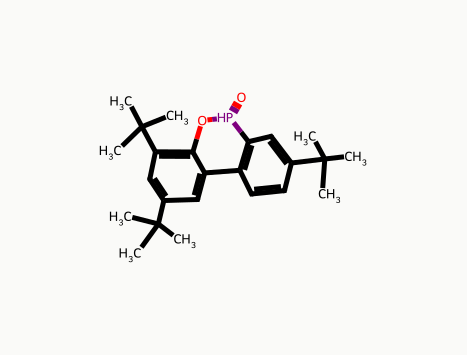 CC(C)(C)c1ccc2c(c1)[PH](=O)Oc1c-2cc(C(C)(C)C)cc1C(C)(C)C